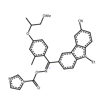 CCn1c2ccc(C#N)cc2c2cc(/C(=N/OC(=O)n3ccnc3)c3ccc(OC(C)COC)cc3C)ccc21